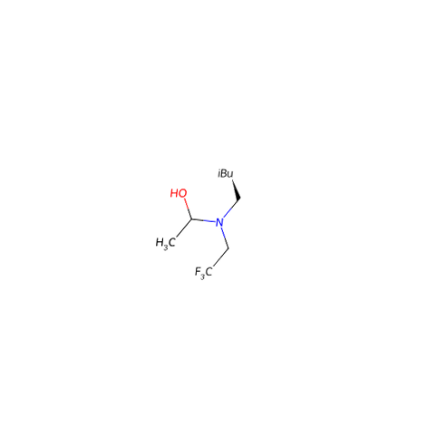 CC[C@H](C)CN(CC(F)(F)F)C(C)O